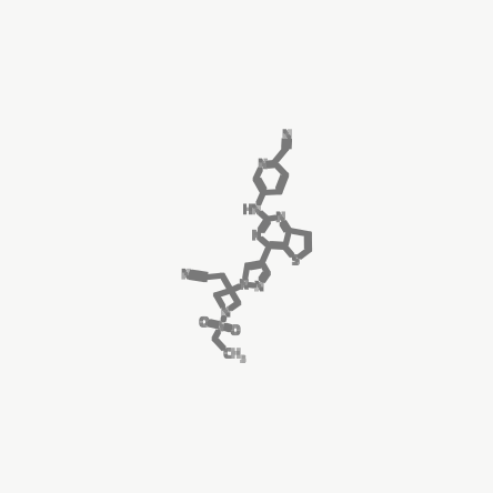 CCS(=O)(=O)N1CC(CC#N)(n2cc(-c3nc(Nc4ccc(C#N)nc4)nc4ccsc34)cn2)C1